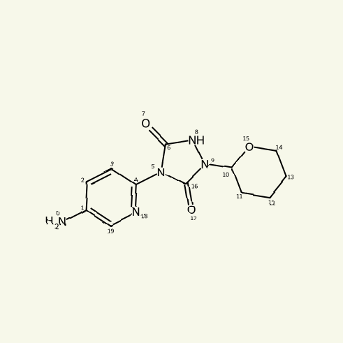 Nc1ccc(-n2c(=O)[nH]n(C3CCCCO3)c2=O)nc1